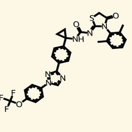 Cc1cccc(C)c1N1C(=O)CS/C1=N\C(=O)NC1(c2ccc(-c3ncn(-c4ccc(OC(F)(F)F)cc4)n3)cc2)CC1